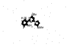 CCCCc1cc(N2CCC(NC)C2)nc(-c2c(N)ccc(F)c2N)n1